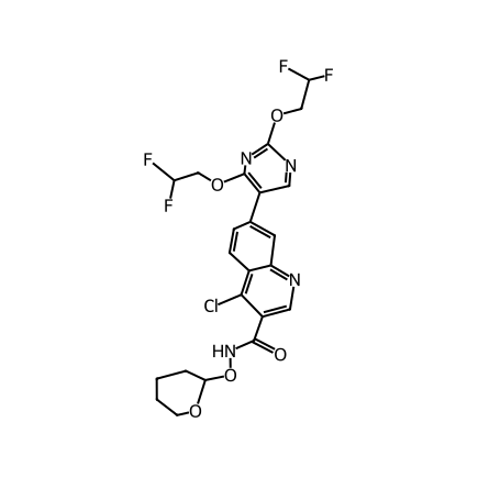 O=C(NOC1CCCCO1)c1cnc2cc(-c3cnc(OCC(F)F)nc3OCC(F)F)ccc2c1Cl